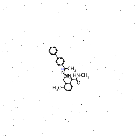 CNC(=O)C(=N)c1cccc(C)c1CO/N=C(\C)c1ccc(-c2ccccc2)cc1